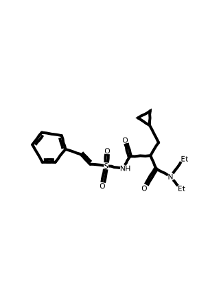 CCN(CC)C(=O)C(CC1CC1)C(=O)NS(=O)(=O)/C=C/c1ccccc1